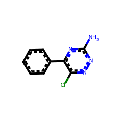 Nc1nnc(Cl)c(-c2ccccc2)n1